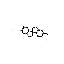 COc1cc2c(cc1O)C1(CCc3cc(CO)c(O)cc31)CC2